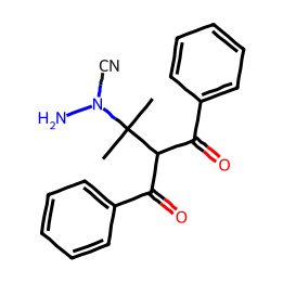 CC(C)(C(C(=O)c1ccccc1)C(=O)c1ccccc1)N(N)C#N